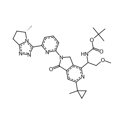 COCC(NC(=O)OC(C)(C)C)c1nc(C2(C)CC2)cc2c1CN(c1cccc(-c3nnc4n3[C@@H](C)CC4)n1)C2=O